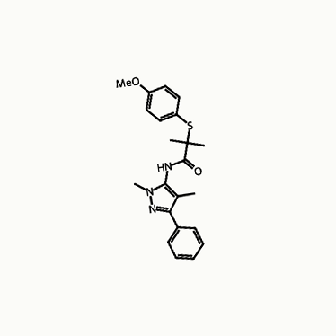 COc1ccc(SC(C)(C)C(=O)Nc2c(C)c(-c3ccccc3)nn2C)cc1